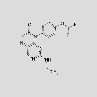 O=c1cnc2cnc(NCC(F)(F)F)nc2n1-c1ccc(OC(F)F)cc1